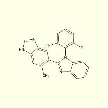 Cc1cc2[nH]cnc2cc1-c1nc2ccccc2n1-c1c(F)cccc1Cl